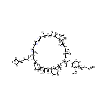 CO[C@@H]1C[C@H](C[C@@H](C)[C@@H]2CC(=O)[C@H](C)/C=C(\C)[C@@H](O)[C@@H](OC)C(=O)[C@H](C)C[C@H](C)/C=C/C=C/C=C(\C)[C@@H](OCCOC3COC3)C[C@@H]3CC[C@@H](C)[C@@](O)(O3)C(=O)C(=O)N3CCCC[C@H]3C(=O)O2)CC[C@H]1OCCO